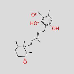 CC(/C=C/[C@@]1(C)[C@H](C)CCC(=O)[C@@H]1C)=C\Cc1c(O)cc(C)c(C=O)c1O